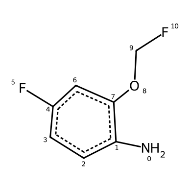 Nc1ccc(F)cc1OCF